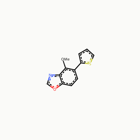 COc1c(-c2cccs2)ccc2o[c]nc12